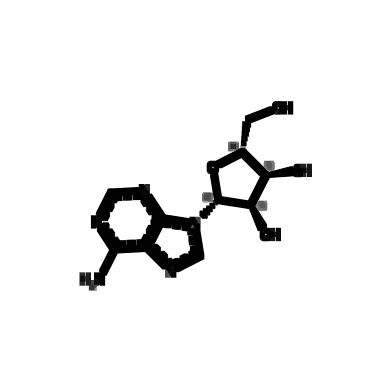 Nc1ncnc2c1ncn2[C@@H]1O[C@H](CO)[C@@H](S)[C@H]1O